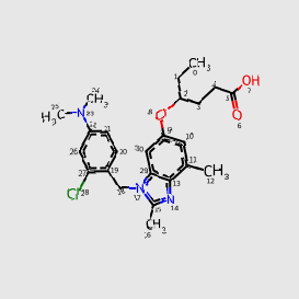 CCC(CCC(=O)O)Oc1cc(C)c2nc(C)n(Cc3ccc(N(C)C)cc3Cl)c2c1